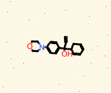 C#CC(O)(c1ccc(N2CCOCC2)cc1)C1C=CC=CC1